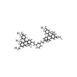 Cc1ccc(N(c2ccc(C=CC3=CC(C=Cc4ccc(N(c5ccc(C)cc5)c5c(C)cc(C)cc5C)cc4)CC=C3)cc2)c2c(C)cc(C)cc2C)cc1